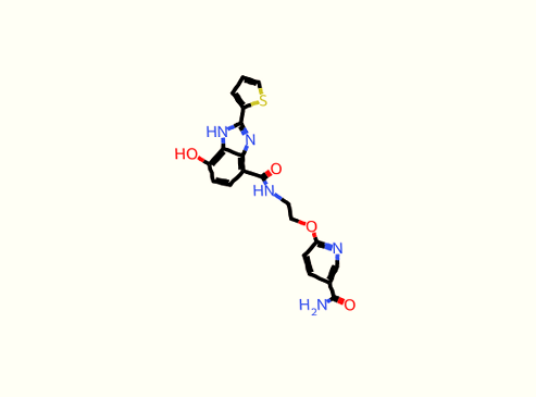 NC(=O)c1ccc(OCCNC(=O)c2ccc(O)c3[nH]c(-c4cccs4)nc23)nc1